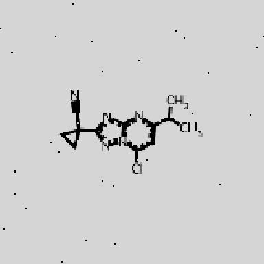 CC(C)c1cc(Cl)n2nc(C3(C#N)CC3)nc2n1